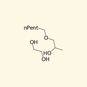 CCCCCCOCC(C)O.OCCO